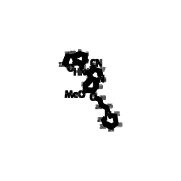 COc1cc2c(Nc3cccc4ccoc34)c(C#N)cnc2cc1OCCCN1CC=CCC1